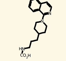 O=C(O)NCCCC1CCN(c2nccc3ccccc23)CC1